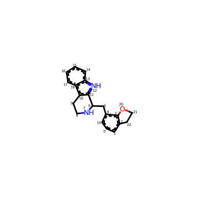 c1cc2c(c(CC3NCCc4c3[nH]c3ccccc43)c1)OCC2